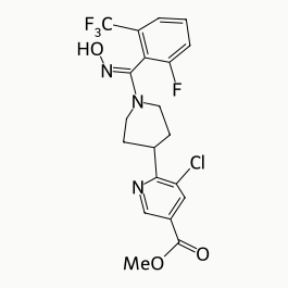 COC(=O)c1cnc(C2CCN(C(=NO)c3c(F)cccc3C(F)(F)F)CC2)c(Cl)c1